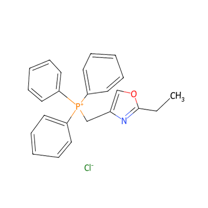 CCc1nc(C[P+](c2ccccc2)(c2ccccc2)c2ccccc2)co1.[Cl-]